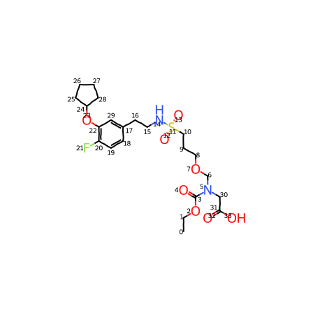 CCOC(=O)N(COCCCS(=O)(=O)NCCc1ccc(F)c(OC2CCCC2)c1)CC(=O)O